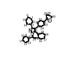 c1ccc(-c2nn3c(-c4ccccc4)cc4ccccc4c3c2-c2ccc(-c3ccco3)cc2)cc1